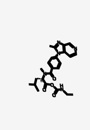 CCNC(=O)OC(=O)[C@H](CC(C)C)N(C)C(=O)c1ccc(-n2c(C)nc3cnccc32)cc1